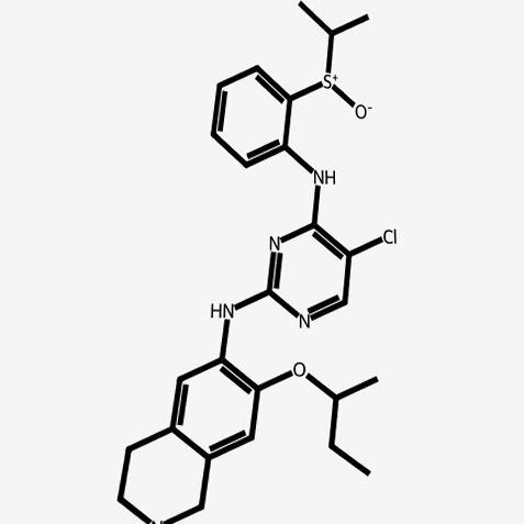 CCC(C)Oc1cc2c(cc1Nc1ncc(Cl)c(Nc3ccccc3[S+]([O-])C(C)C)n1)CCNC2